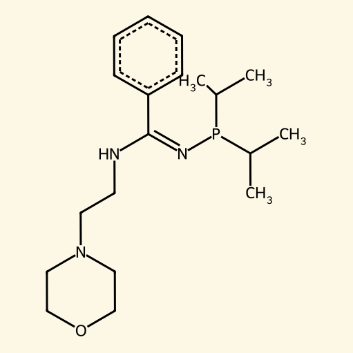 CC(C)P(N=C(NCCN1CCOCC1)c1ccccc1)C(C)C